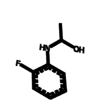 CC(O)Nc1ccccc1F